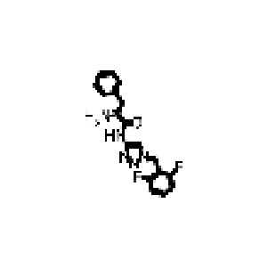 N[C@H](Cc1ccccc1)C(=O)Nc1cn(Cc2c(F)cccc2F)nn1